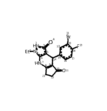 CCn1[nH]c(=O)c2c1NC1=C(C(=O)CC1)C2c1ccc(F)c(Br)c1